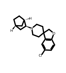 Clc1ccc2c(c1)C1(CCN([C@H]3C[C@@H]4CC[C@@H]3C4)CC1)CO2